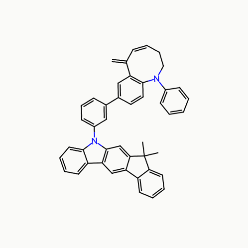 C=C1/C=C\CCN(c2ccccc2)c2ccc(-c3cccc(-n4c5ccccc5c5cc6c(cc54)C(C)(C)c4ccccc4-6)c3)cc21